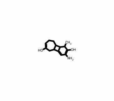 CC1C(O)=C(N)C=C2C3CC(O)=CCCC3C21